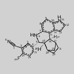 N#Cc1cc([C@@H]2Nc3ccc4[nH]ccc4c3[C@H]3C4CCC(C4)[C@@H]23)ccc1F